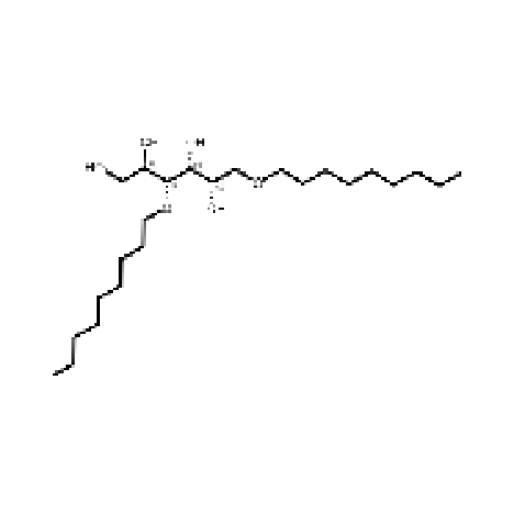 CCCCCCCCCOC[C@H](O)[C@@H](O)[C@H](OCCCCCCCCC)[C@H](O)CO